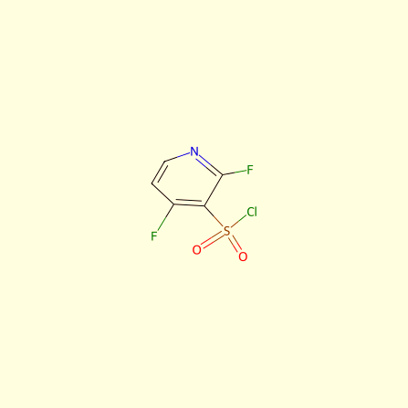 O=S(=O)(Cl)c1c(F)ccnc1F